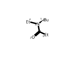 CCC(=O)N(CC)[C@H](C)CC